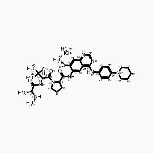 CN[C@@H](C)C(=O)N[C@H](C(=O)N1CCCC1C(=O)Nc1cc2c(Nc3ccc(N4CCCCC4)cc3)ncnc2cc1OC)C(C)(C)C.Cl.Cl